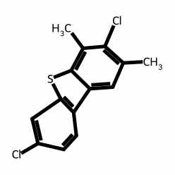 Cc1cc2c(sc3cc(Cl)ccc32)c(C)c1Cl